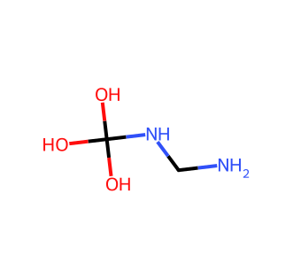 NCNC(O)(O)O